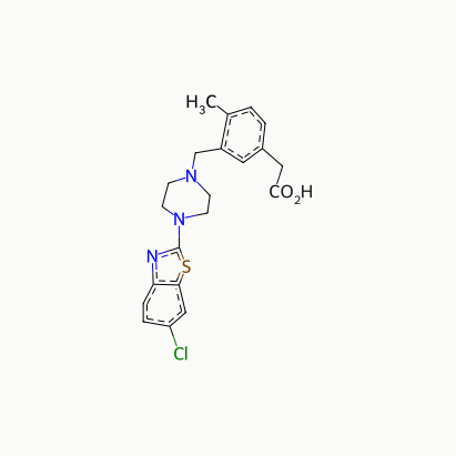 Cc1ccc(CC(=O)O)cc1CN1CCN(c2nc3ccc(Cl)cc3s2)CC1